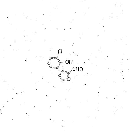 O=Cc1ccco1.Oc1ccccc1Cl